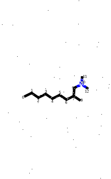 CCCCCCCC(C)CN(C)C